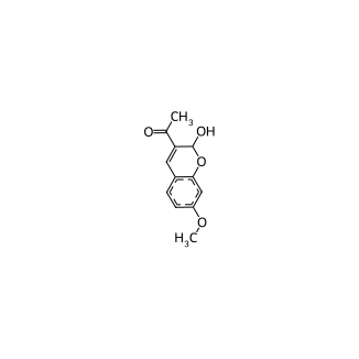 COc1ccc2c(c1)OC(O)C(C(C)=O)=C2